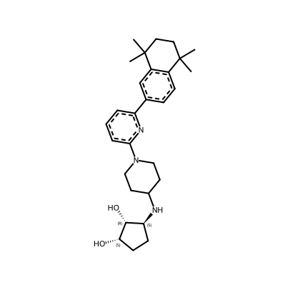 CC1(C)CCC(C)(C)c2cc(-c3cccc(N4CCC(N[C@H]5CC[C@H](O)[C@@H]5O)CC4)n3)ccc21